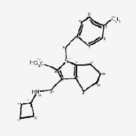 Cc1ccc(Cn2c3c(c(CNC4CCC4)c2C(=O)O)CCCC3)cc1